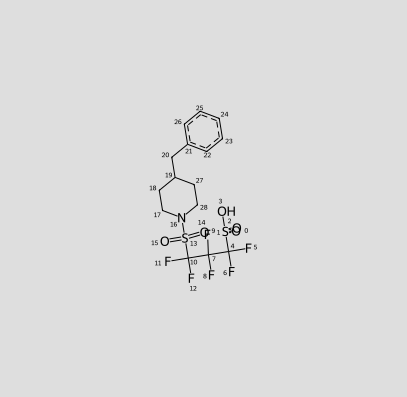 O=S(=O)(O)C(F)(F)C(F)(F)C(F)(F)S(=O)(=O)N1CCC(Cc2ccccc2)CC1